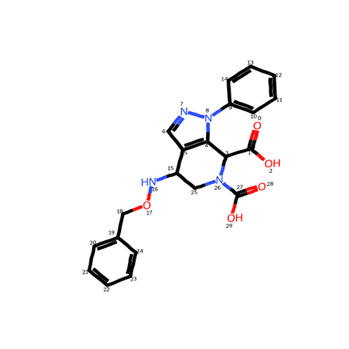 O=C(O)C1c2c(cnn2-c2ccccc2)C(NOCc2ccccc2)CN1C(=O)O